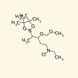 CCN(Cl)CCC(OCOC)C(C)B1OC(C)(C)C(C)(C)O1